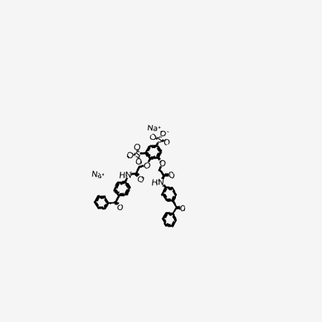 O=C(COc1cc(S(=O)(=O)[O-])cc(S(=O)(=O)[O-])c1OCC(=O)Nc1ccc(C(=O)c2ccccc2)cc1)Nc1ccc(C(=O)c2ccccc2)cc1.[Na+].[Na+]